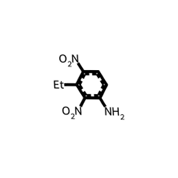 CCc1c([N+](=O)[O-])ccc(N)c1[N+](=O)[O-]